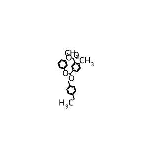 CCc1ccc(COC(Oc2ccccc2)c2ccc(C)c(C(=O)OC)c2)cc1